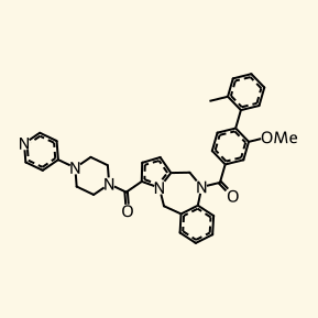 COc1cc(C(=O)N2Cc3ccc(C(=O)N4CCN(c5ccncc5)CC4)n3Cc3ccccc32)ccc1-c1ccccc1C